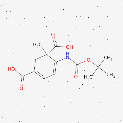 CC(C)(C)OC(=O)NC1=CC=C(C(=O)O)CC1(C)C(=O)O